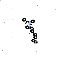 C/C=C(/C=C(\N=C(/C)n1c2ccccc2c2c3ccc(-c4ccc5ccc(-c6cccc7ccccc67)cc5c4)cc3ccc21)c1ccccc1)c1ccccc1